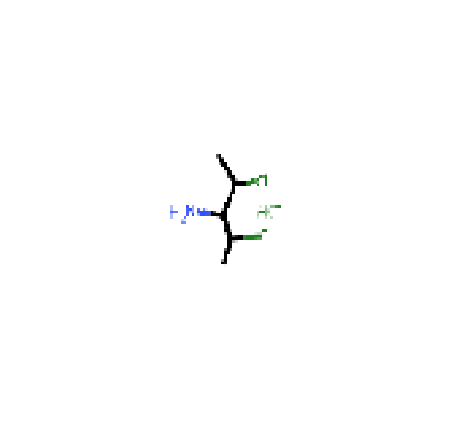 CC(Cl)C(N)C(C)Cl.Cl